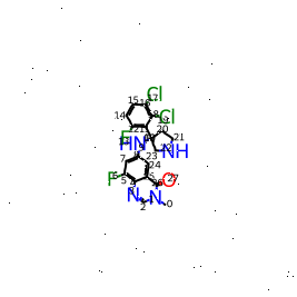 Cn1cnc2c(F)cc(N[C@@]3(c4c(F)ccc(Cl)c4Cl)CCNC3)cc2c1=O